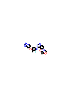 Cc1c(Oc2ccn3ncnc3c2)ccc(Nc2ncnc3ccc4c(c23)OC[C@H]2COCCN42)c1F